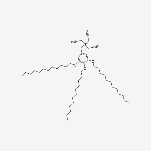 C#CC[N+](CC#C)(CC#C)Cc1cc(OCCCCCCCCCCCC)c(OCCCCCCCCCCCC)c(OCCCCCCCCCCCC)c1